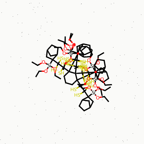 CCO[Si](OCC)(OCC)C1(C(S)(S)C(S)(S)C2(C(S)(S)C(S)(S)C3([Si](OCC)(OCC)OCC)CC4CCC3C4)CCCC(C(S)(S)C(S)(S)C3([Si](OCC)(OCC)OCC)CC4CCC3C4)(C(S)(S)C(S)(S)C3([Si](OCC)(OCC)OCC)CC4CCC3C4)C2(C(S)(S)C(S)(S)C2([Si](OCC)(OCC)OCC)CC3CCC2C3)C(S)(S)C(S)(S)C2([Si](OCC)(OCC)OCC)CC3CCC2C3)CC2CCC1C2